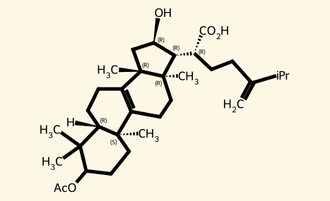 C=C(CC[C@@H](C(=O)O)[C@H]1[C@H](O)C[C@@]2(C)C3=C(CC[C@]12C)[C@@]1(C)CCC(OC(C)=O)C(C)(C)[C@@H]1CC3)C(C)C